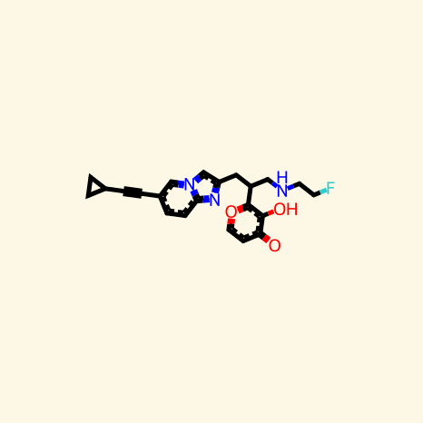 O=c1ccoc(C(CNCCF)Cc2cn3cc(C#CC4CC4)ccc3n2)c1O